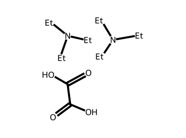 CCN(CC)CC.CCN(CC)CC.O=C(O)C(=O)O